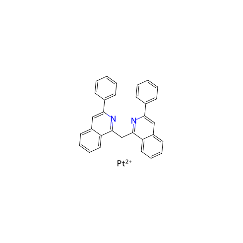 [Pt+2].c1ccc(-c2cc3ccccc3c(Cc3nc(-c4ccccc4)cc4ccccc34)n2)cc1